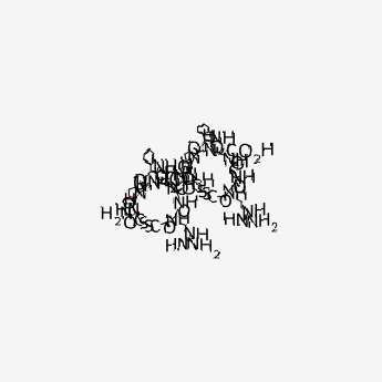 N=C(N)NCCCC[C@@H]1NC(=O)CCSSC[C@@H](C(N)=O)NC(=O)[C@@H]2CCCN2C(=O)[C@H](Cc2c[nH]c3ccccc23)NC(=O)[C@H](CC(=O)O)NC(=O)CNC1=O.N=C(N)NCCCC[C@@H]1NC(=O)CCSSC[C@@H](C(N)=O)NC(=O)[C@@H]2CCCN2C(=O)[C@H](Cc2c[nH]c3ccccc23)NC(=O)[C@H](CC(=O)O)NC(=O)CNC1=O